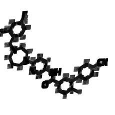 Cc1ccc(C(=O)Nc2ccc(N3CCCN(Cc4ccc(F)cc4Cl)CC3)nc2)cc1-c1ccc(C#N)cc1